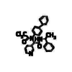 C[C@H](NC(=O)C(c1cccnc1)N(C(=O)C(Cl)(Cl)Cl)c1ccc(-c2ccccc2)cc1)c1ccccc1